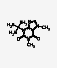 BC(B)(B)n1c(=O)n(C)c(=O)c2c1ncn2C